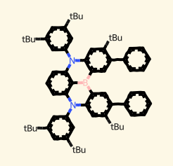 CC(C)(C)c1cc(N2c3cc(C(C)(C)C)c(-c4ccccc4)cc3B3c4cc(-c5ccccc5)c(C(C)(C)C)cc4N(c4cc(C(C)(C)C)cc(C(C)(C)C)c4)c4cccc2c43)cc(C(C)(C)C)c1